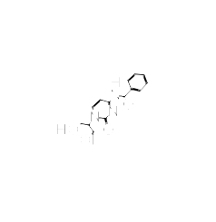 O=C(Nc1ccn(C(CO)CO)c(=O)n1)c1ccccc1